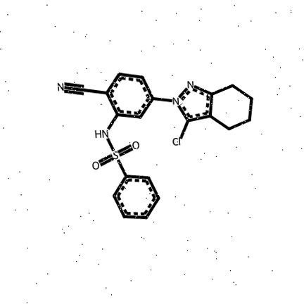 N#Cc1ccc(-n2nc3c(c2Cl)CCCC3)cc1NS(=O)(=O)c1ccccc1